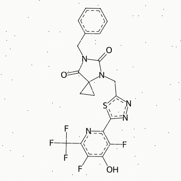 O=C1N(Cc2ccccc2)C(=O)C2(CC2)N1Cc1nnc(-c2nc(C(F)(F)F)c(F)c(O)c2F)s1